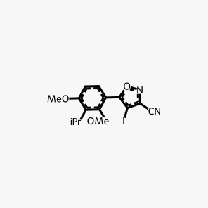 COc1ccc(-c2onc(C#N)c2I)c(OC)c1C(C)C